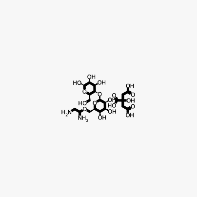 NCC(N)OC[C@H]1O[C@@H](O[C@H]2[C@H](O)[C@@H](O)[C@@H](O)O[C@@H]2CO)[C@H](O)[C@@H](O)[C@H]1O.O=C(O)CC(O)(CC(=O)O)C(=O)O